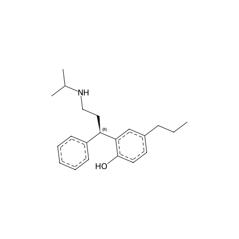 CCCc1ccc(O)c([C@H](CCNC(C)C)c2ccccc2)c1